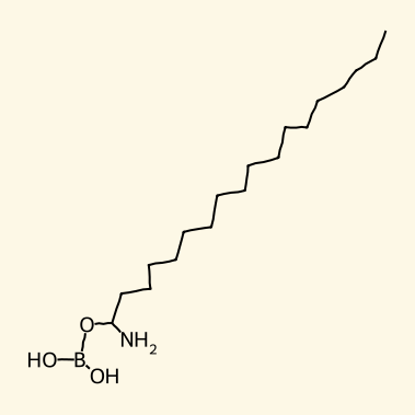 CCCCCCCCCCCCCCCCCC(N)OB(O)O